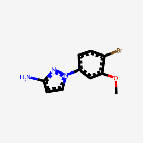 COc1cc(-n2ccc(N)n2)ccc1Br